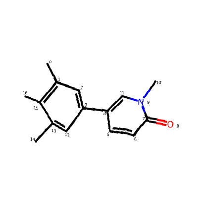 Cc1cc(-c2ccc(=O)n(C)c2)cc(C)c1C